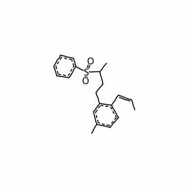 C/C=C\c1ccc(C)cc1CCC(C)S(=O)(=O)c1ccccc1